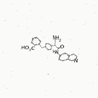 NCC(C(=O)Nc1ccc2cnccc2c1)c1ccc(Cc2ccccc2C(=O)O)cc1